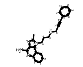 Cc1nc2c(N)nc3ccccc3c2n1CCCOCC#Cc1ccccc1